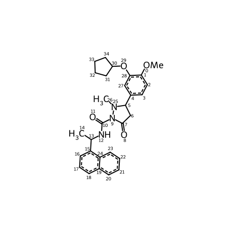 COc1ccc(C2CC(=O)N(C(=O)NC(C)c3cccc4ccccc34)N2C)cc1OC1CCCC1